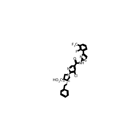 O=C(Nc1nc(-c2cccc(C(F)(F)F)c2F)cs1)c1cnc(N2C[C@H](CCc3ccccc3)[C@@H](C(=O)O)C2)c(Cl)c1